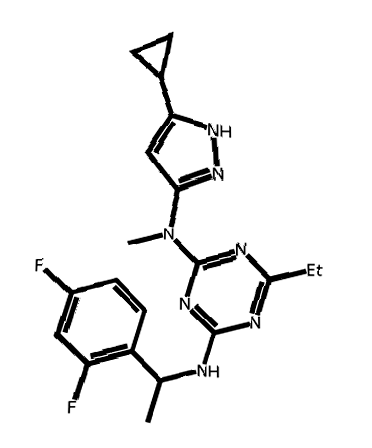 CCc1nc(NC(C)c2ccc(F)cc2F)nc(N(C)c2cc(C3CC3)[nH]n2)n1